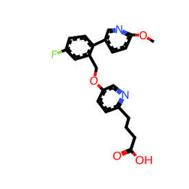 COc1ccc(-c2ccc(F)cc2COc2ccc(CCCC(=O)O)nc2)cn1